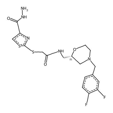 NNC(=O)c1csc(SCC(=O)NC[C@H]2CN(Cc3ccc(F)c(F)c3)CCO2)n1